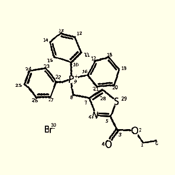 CCOC(=O)c1nc(C[P+](c2ccccc2)(c2ccccc2)c2ccccc2)cs1.[Br-]